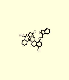 O=C(O)C1CCCCC1C(=O)N1CCc2c(Cl)ccc(OCc3nsc4ccccc34)c2[C@H]1CN1CCCC1=O